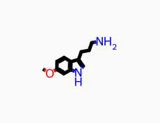 COc1ccc2c(CCCN)c[nH]c2c1